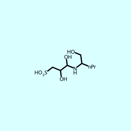 CCCC(CO)NC(O)C(O)CS(=O)(=O)O